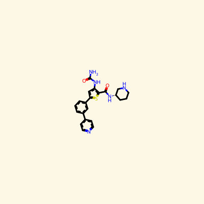 NC(=O)Nc1cc(-c2cccc(-c3ccncc3)c2)sc1C(=O)N[C@H]1CCCNC1